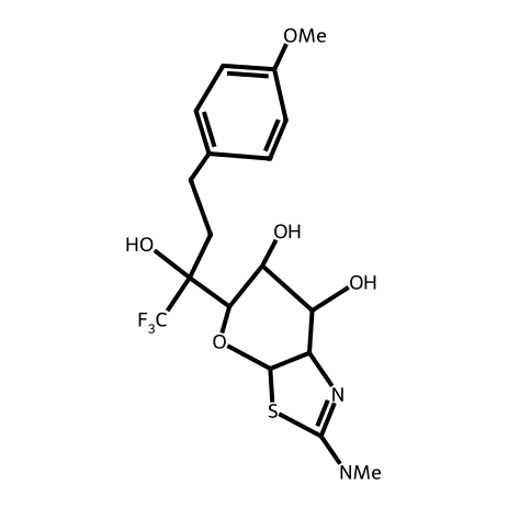 CNC1=NC2C(OC(C(O)(CCc3ccc(OC)cc3)C(F)(F)F)C(O)C2O)S1